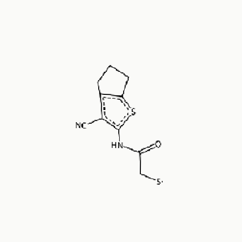 N#Cc1c(NC(=O)C[S])sc2c1CCC2